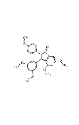 COc1ccc(C2=C(c3cc(OC)cc(OC)c3)c3c(OC)cc(OC)cc3C2=O)cc1